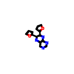 c1coc(-c2nc3cncnc3nc2-c2ccco2)c1